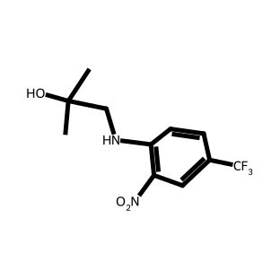 CC(C)(O)CNc1ccc(C(F)(F)F)cc1[N+](=O)[O-]